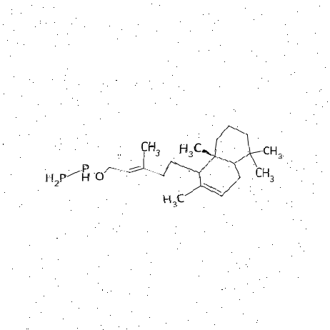 CC1=CCC2C(C)(C)CCC[C@@]2(C)C1CC/C(C)=C/COPP